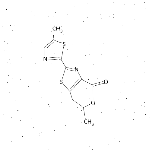 Cc1cnc(-c2nc3c(s2)CC(C)OC3=O)s1